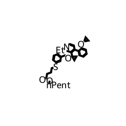 CCCCCOC(=O)CCCSc1ccc(CC)c(COC2(c3cnccc3-c3ccccc3OC3CC3)CC2)c1